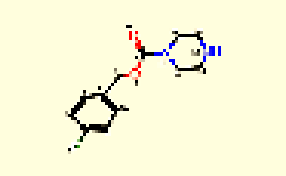 O=C(OCc1ccc(F)cc1)N1CCNCC1